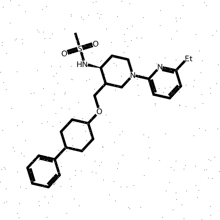 CCc1cccc(N2CC[C@H](NS(C)(=O)=O)C(COC3CCC(c4ccccc4)CC3)C2)n1